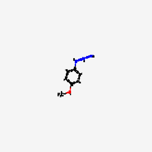 [N-]=[N+]=Nc1ccc(OC(F)(F)F)cc1